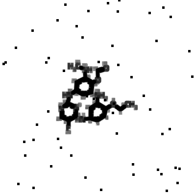 CCOc1ccc(Nc2nc(Nc3ccc(OC=O)c(NC)c3)ncc2F)cc1N